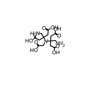 NCC(CC(=O)O)(CC(=O)O)N(CC(=O)O)C(CN)(CC(=O)O)CC(=O)O